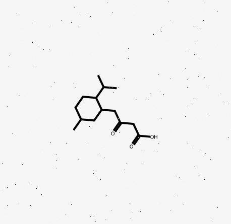 CC1CCC(C(C)C)C(CC(=O)CC(=O)O)C1